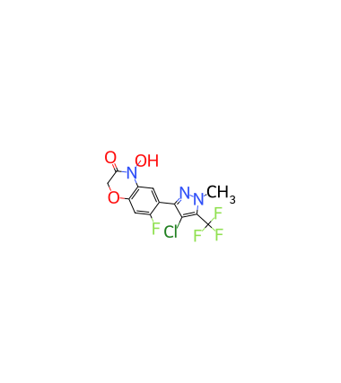 Cn1nc(-c2cc3c(cc2F)OCC(=O)N3O)c(Cl)c1C(F)(F)F